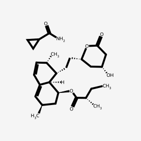 CC[C@H](C)C(=O)O[C@H]1C[C@@H](C)C=C2C=C[C@H](C)[C@H](CC[C@H]3C[C@@H](O)CC(=O)O3)[C@H]21.NC(=O)C1CC1